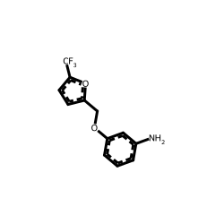 Nc1cccc(OCc2ccc(C(F)(F)F)o2)c1